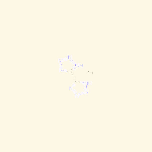 [Ag].n1n[nH]c(-c2nnn[nH]2)n1